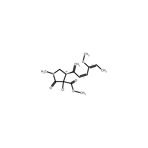 C=C(/C=C\C(=C/C)OC)[C@@H]1CN(C)C(=O)C1(Cl)C(=O)OC